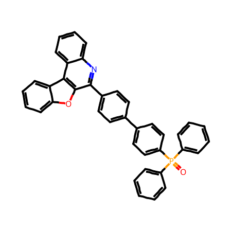 O=P(c1ccccc1)(c1ccccc1)c1ccc(-c2ccc(-c3nc4ccccc4c4c3oc3ccccc34)cc2)cc1